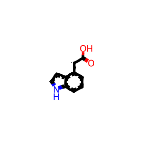 O=C(O)[CH]c1cccc2[nH]ccc12